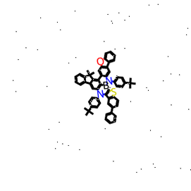 CC(C)(C)c1ccc(N2B3c4sc5ccc(-c6ccccc6)cc5c4N(c4ccc(C(C)(C)C)cc4)c4cc5c(c(c43)-c3cc4oc6ccccc6c4cc32)C(C)(C)c2ccccc2-5)cc1